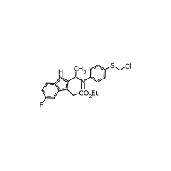 CCOC(=O)Cc1c(C(C)Nc2ccc(SCCl)cc2)[nH]c2ccc(F)cc12